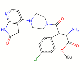 CC(C)(C)OC(=O)C(N)C(C(=O)N1CCN(c2ccnc3c2CC(=O)N3)CC1)c1ccc(Cl)cc1